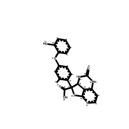 Cc1cc(Oc2ccccc2O)ccc1C1(C(=O)O)Sc2nccc3c2C1NC(=O)N3